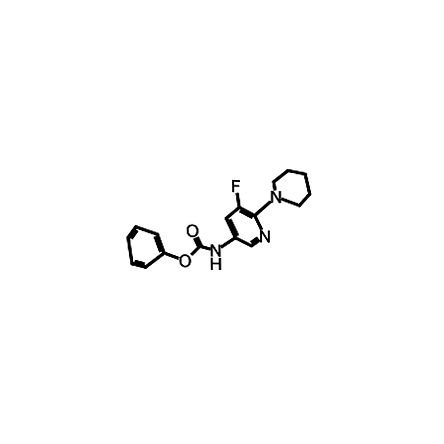 O=C(Nc1cnc(N2CCCCC2)c(F)c1)Oc1ccccc1